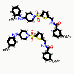 CCCc1ccc(NC2CCN(S(=O)(=O)c3ccc(CNC(=O)c4cccc(OC)c4)s3)CC2)cc1.CCCc1ccccc1NC1CCN(S(=O)(=O)c2ccc(CNC(=O)c3cccc(OC)c3)s2)CC1